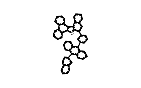 c1cc(-c2c3ccccc3c(-c3ccc4ccccc4c3)c3ccccc23)cc(-c2cc3ccccc3c3c2oc2c4ccccc4c4ccccc4c23)c1